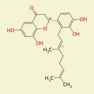 CC(C)=CCC/C(C)=C/Cc1c([C@H]2CC(=O)c3cc(O)cc(O)c3O2)ccc(O)c1O